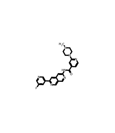 CN1CCN(c2cc(C(=O)Nc3cc4cc(-c5cncc(F)c5)ncc4cn3)ccn2)CC1